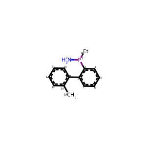 CCP(N)c1ccccc1-c1ccccc1C